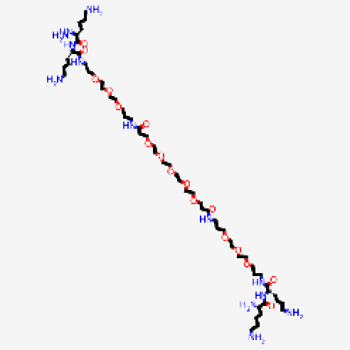 NCCCC[C@H](NN)C(=O)N[C@@H](CCCCN)C(=O)NCCCOCCOCCOCCCNC(=O)CCOCCOCCOCCOCCOCCC(=O)NCCCOCCOCCOCCCNC(=O)[C@H](CCCCN)NC(=O)[C@@H](N)CCCCN